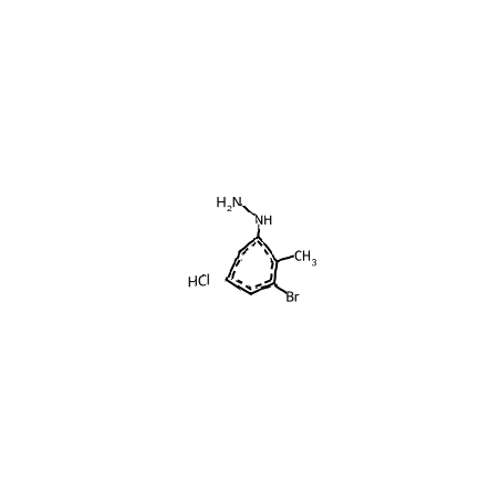 Cc1c(Br)cccc1NN.Cl